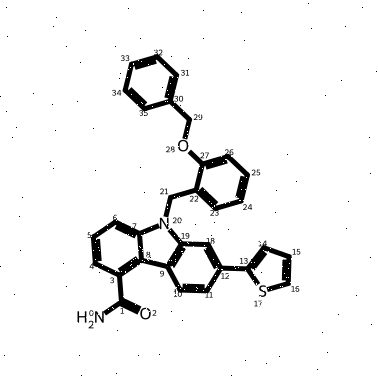 NC(=O)c1cccc2c1c1[c]cc(-c3cccs3)cc1n2Cc1ccccc1OCc1ccccc1